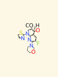 O=C(O)c1cn(-c2nccs2)c2nc(N3CCCOC3)c(F)cc2c1=O